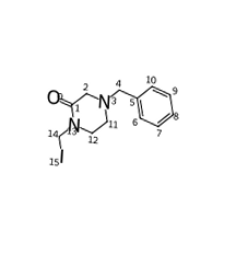 O=C1CN(Cc2ccccc2)CCN1CI